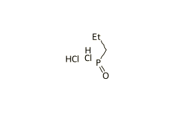 CCCP=O.Cl.Cl